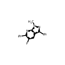 CC(C)c1nc2c(cc1F)c(C(C)C)nn2C